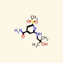 CC(C)(O)CNc1cc(C(N)=O)cc(S(C)(=O)=O)n1